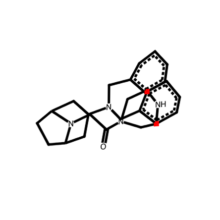 O=C(CN1C2CCC1CC(N(Cc1ccccc1)Cc1ccccc1)C2)N1CCNCC1